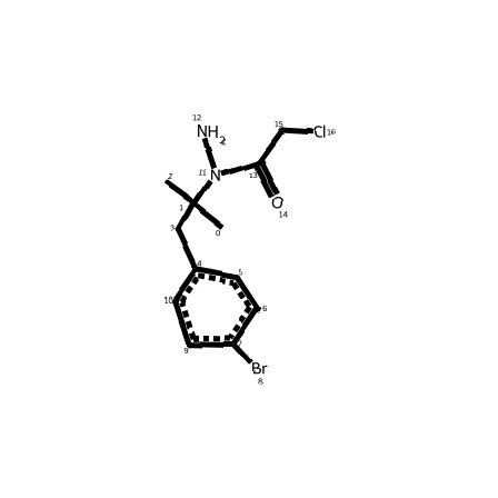 CC(C)(Cc1ccc(Br)cc1)N(N)C(=O)CCl